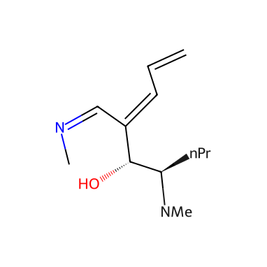 C=C/C=C(\C=N/C)[C@@H](O)[C@@H](CCC)NC